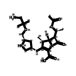 CC(=O)O[C@H](C)[C@H]1C(=O)N2C(C(=O)O)=C(S[C@@H]3CN[C@H](COC(C)(C)CN)C3)[C@H](C)[C@H]12